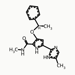 CNC(=O)c1[nH]c(-c2ncc(C)[nH]2)cc1O[C@H](C)c1ccccc1